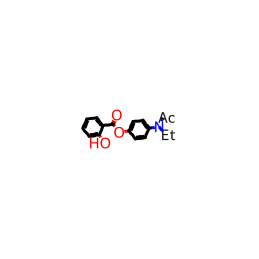 CCN(C(C)=O)c1ccc(OC(=O)c2ccccc2O)cc1